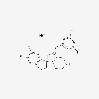 Cl.Fc1cc(F)cc(COC[C@]2(N3CCNCC3)CCc3cc(F)c(F)cc32)c1